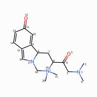 CN(C)CC(=O)C1CC2C3=CC(=O)C=CC3=CN2C[N+]1(C)C